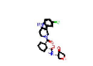 O=C1COC[C@@H]1NC(=O)[C@@H]1CCCC[C@H]1C(=O)N1CCc2[nH]c3ccc(Cl)cc3c2C1